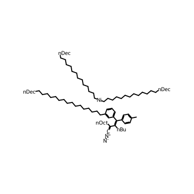 CCCCCCCCCCCCCCCCCCCCCCCCCCc1cccc(C(=C(CCCC)C(=C=[N+]=[N-])CCCCCCCC)c2ccc(C)cc2)c1.CCCCCCCCCCCCCCCCCCCCCC[CH2][Ni][CH2]CCCCCCCCCCCCCCCCCCCCCC